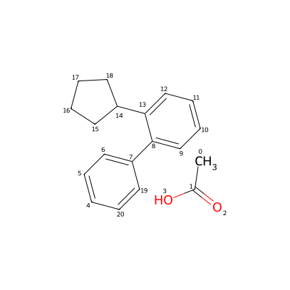 CC(=O)O.c1ccc(-c2ccccc2C2CCCC2)cc1